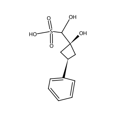 O=S(=O)(O)C(O)[C@]1(O)C[C@@H](c2ccccc2)C1